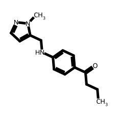 CCCC(=O)c1ccc(NCc2ccnn2C)cc1